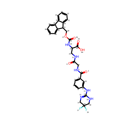 O=C(CNC(=O)c1cccc(NC2=NCC(F)(F)CN2)c1)NCC(NC(=O)OCC1c2ccccc2-c2ccccc21)C(=O)O